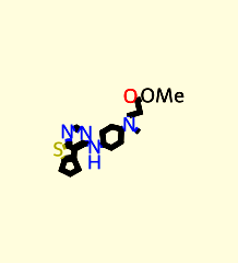 COC(=O)CCN(C)C1CCC(Nc2ncnc3sc4c(c23)CCC4)CC1